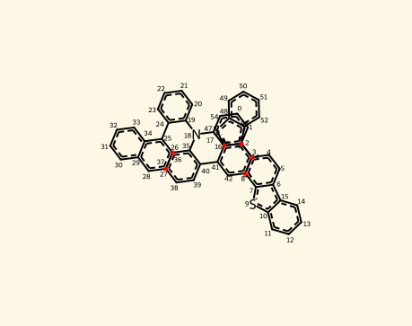 c1cc(-c2ccc3c(c2)sc2ccccc23)cc(N(c2ccccc2-c2cccc3ccccc23)c2ccccc2-c2cccc3c2sc2ccccc23)c1